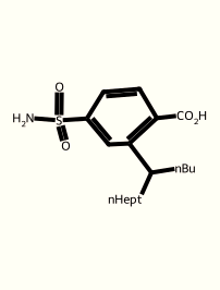 CCCCCCCC(CCCC)c1cc(S(N)(=O)=O)ccc1C(=O)O